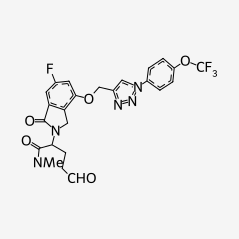 CNC(=O)C(CCC=O)N1Cc2c(OCc3cn(-c4ccc(OC(F)(F)F)cc4)nn3)cc(F)cc2C1=O